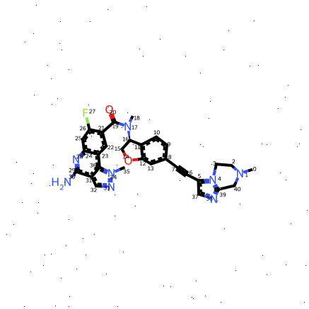 CN1CCn2c(C#Cc3ccc4c(c3)OC[C@H]4N(C)C(=O)c3cc4c(cc3F)nc(N)c3cnn(C)c34)cnc2C1